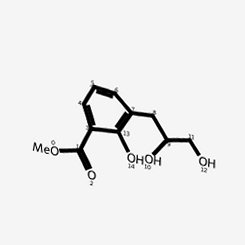 COC(=O)c1c[c]cc(CC(O)CO)c1O